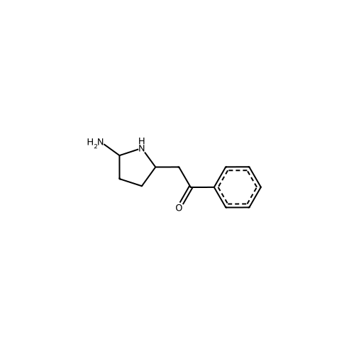 NC1CCC(CC(=O)c2ccccc2)N1